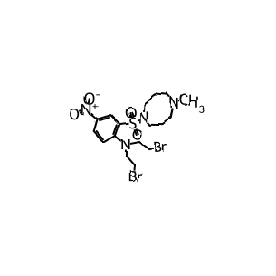 CN1CCCN(S(=O)(=O)c2cc([N+](=O)[O-])ccc2N(CCBr)CCBr)CCC1